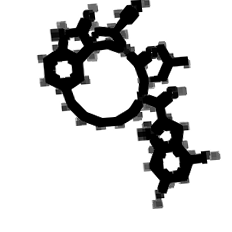 CC(C)C[C@H]1C(=O)N2C[C@]3(C[C@H]2C#N)C(=O)Nc2ccc(cc23)CCCCCN1C(=O)c1cc2c(F)cc(F)cc2[nH]1